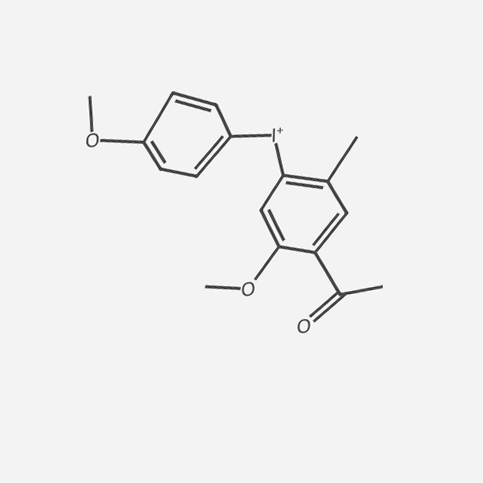 COc1ccc([I+]c2cc(OC)c(C(C)=O)cc2C)cc1